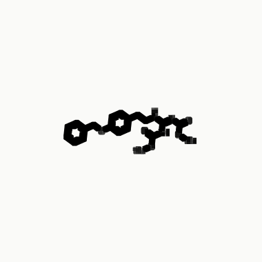 CC(C)(C)OC(=O)N=C(NCCc1ccc(OCc2ccccc2)cc1)NC(=O)OC(C)(C)C